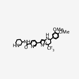 COc1ccc(C2CC(C(F)(F)F)n3nc(-c4ccc(C(=O)NC5CCCNC5)nc4)cc3N2)cc1OC